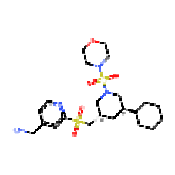 NCc1ccnc(S(=O)(=O)C[C@H]2C[C@H](C3CCCCC3)CN(S(=O)(=O)N3CCOCC3)C2)c1